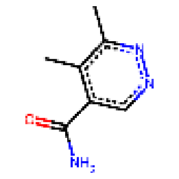 Cc1nncc(C(N)=O)c1C